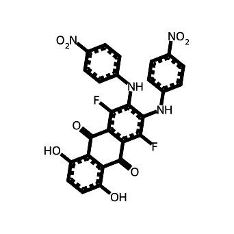 O=C1c2c(O)ccc(O)c2C(=O)c2c(F)c(Nc3ccc([N+](=O)[O-])cc3)c(Nc3ccc([N+](=O)[O-])cc3)c(F)c21